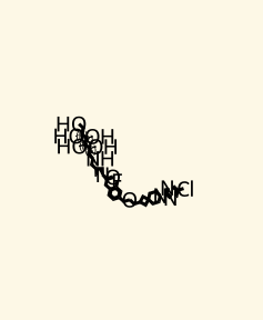 O=C(Cc1ccc(COCC2CC3(CCN(c4ncc(Cl)cn4)CC3)C2)cc1F)N1CC(CNC[C@H](O)[C@@H](O)[C@H](O)[C@H](O)CO)C1